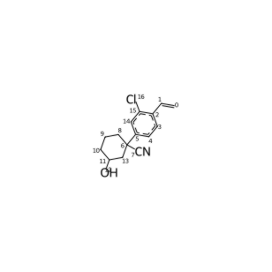 C=Cc1ccc(C2(C#N)CCCC(O)C2)cc1Cl